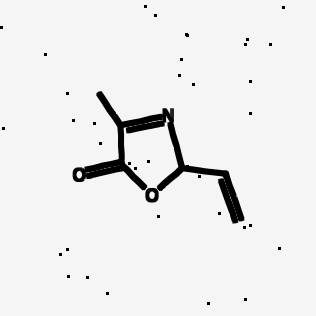 C=CC1N=C(C)C(=O)O1